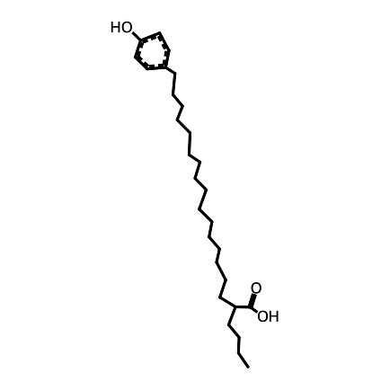 CCCCC(CCCCCCCCCCCCCCCCc1ccc(O)cc1)C(=O)O